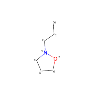 [CH2]CCN1CCCO1